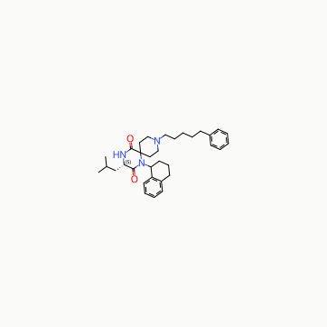 CC(C)C[C@@H]1NC(=O)C2(CCN(CCCCCc3ccccc3)CC2)N(C2CCCc3ccccc32)C1=O